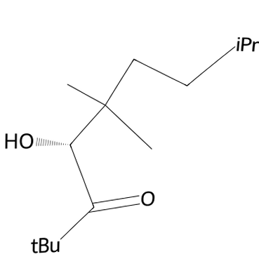 CC(C)CCC(C)(C)[C@@H](O)C(=O)C(C)(C)C